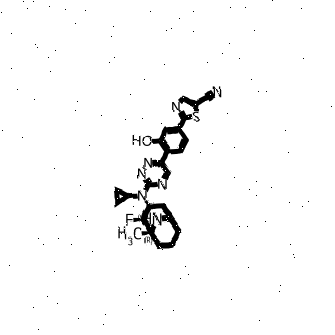 C[C@@]12CCCC(C[C@H](N(c3ncc(-c4ccc(-c5ncc(C#N)s5)cc4O)nn3)C3CC3)[C@@H]1F)N2